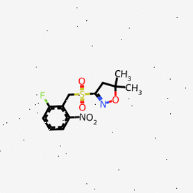 CC1(C)CC(S(=O)(=O)Cc2c(F)cccc2[N+](=O)[O-])=NO1